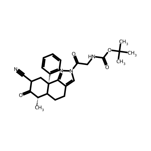 C[C@@H]1C(=O)C(C#N)C[C@@]2(c3ccccc3)c3nn(C(=O)CNC(=O)OC(C)(C)C)cc3CCC12